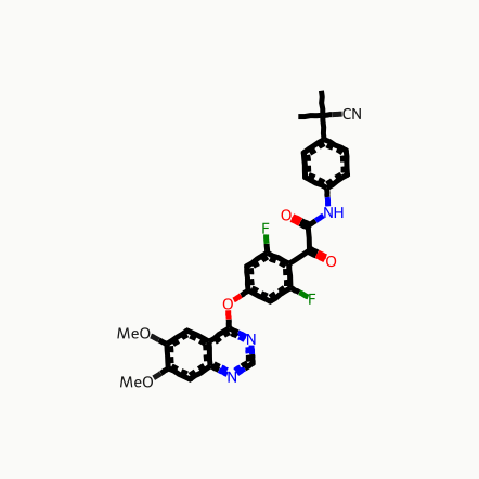 COc1cc2ncnc(Oc3cc(F)c(C(=O)C(=O)Nc4ccc(C(C)(C)C#N)cc4)c(F)c3)c2cc1OC